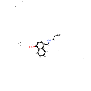 CC(C)CCNCc1ccc(O)c2ccccc12